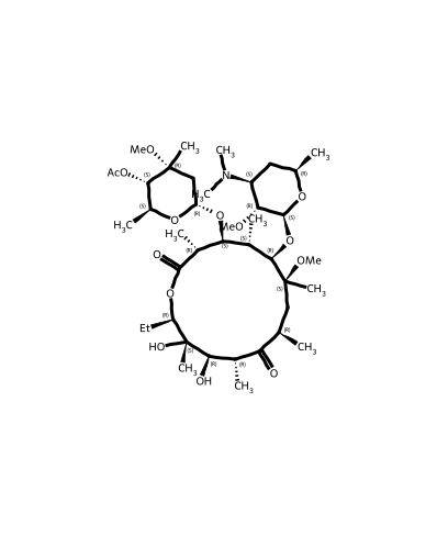 CC[C@H]1OC(=O)[C@H](C)[C@@H](O[C@H]2C[C@@](C)(OC)[C@@H](OC(C)=O)[C@H](C)O2)[C@H](C)[C@@H](O[C@@H]2O[C@H](C)C[C@H](N(C)C)[C@H]2OC)[C@@](C)(OC)C[C@@H](C)C(=O)[C@H](C)[C@@H](O)[C@]1(C)O